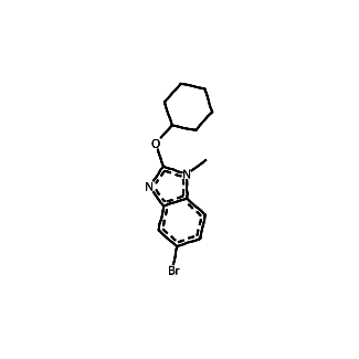 Cn1c(OC2CCCCC2)nc2cc(Br)ccc21